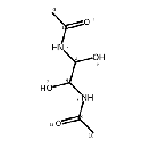 CC(=O)NC(O)C(O)NC(C)=O